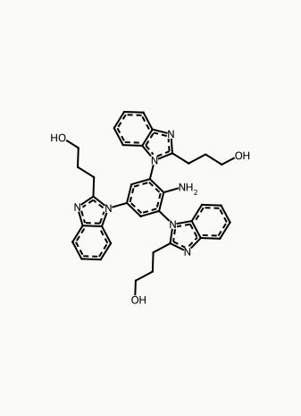 Nc1c(-n2c(CCCO)nc3ccccc32)cc(-n2c(CCCO)nc3ccccc32)cc1-n1c(CCCO)nc2ccccc21